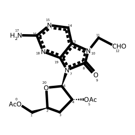 CC(=O)OC[C@@H]1C[C@@H](OC(C)=O)[C@H](n2c(=O)n(CC=O)c3cnc(N)nc32)O1